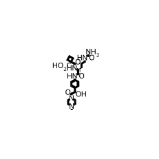 CN1CCN(C(=O)C(O)c2ccc(NC(=O)[C@H](CCCNC(N)=O)NC(=O)C3(C(=O)O)CCC3)cc2)CC1